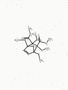 CCC12C=CC(CC)(C1)C(CC)(C(=O)OC)C2(CC)C(=O)OC